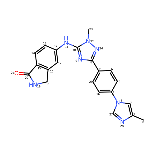 Cc1cn(-c2ccc(-c3nc(Nc4ccc5c(c4)CNC5=O)n(C)n3)cc2)cn1